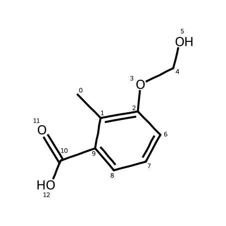 Cc1c(OCO)cccc1C(=O)O